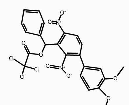 COc1ccc(-c2ccc([N+](=O)[O-])c(C(OC(=O)C(Cl)(Cl)Cl)c3ccccc3)c2[N+](=O)[O-])cc1OC